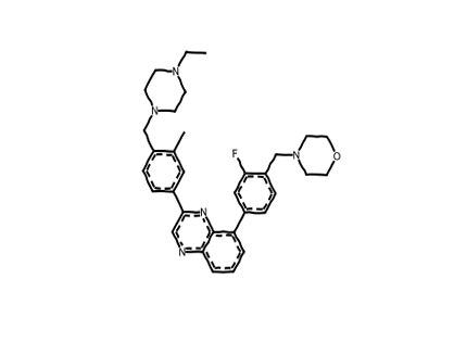 CCN1CCN(Cc2ccc(-c3cnc4cccc(-c5ccc(CN6CCOCC6)c(F)c5)c4n3)cc2C)CC1